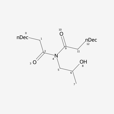 CCCCCCCCCCCC(=O)N(CC(C)O)C(=O)CCCCCCCCCCC